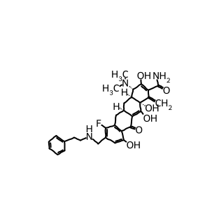 C=C1C(C(N)=O)=C(O)[C@@H](N(C)C)[C@@H]2C[C@@H]3Cc4c(F)c(CNCCc5ccccc5)cc(O)c4C(=O)C3=C(O)[C@]12O